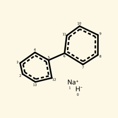 [H-].[Na+].c1ccc(-c2ccccc2)cc1